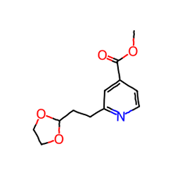 COC(=O)c1ccnc(CCC2OCCO2)c1